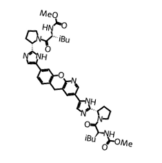 CC[C@H](C)[C@H](NC(=O)OC)C(=O)N1CCC[C@H]1c1ncc(-c2cnc3c(c2)Cc2ccc(-c4cnc([C@@H]5CCCN5C(=O)[C@@H](NC(=O)OC)[C@@H](C)CC)[nH]4)cc2O3)[nH]1